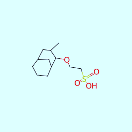 CC1CC2CCCC(C2)C1OCCS(=O)(=O)O